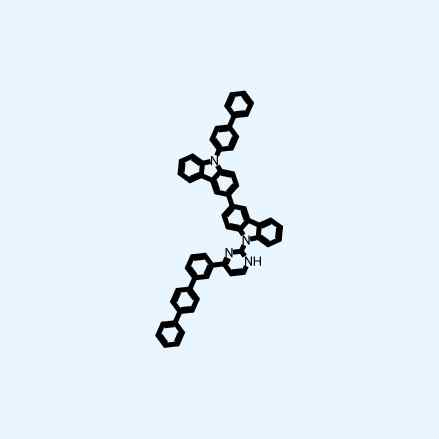 C1=CC(c2cccc(-c3ccc(-c4ccccc4)cc3)c2)=NC(n2c3ccccc3c3cc(-c4ccc5c(c4)c4ccccc4n5-c4ccc(-c5ccccc5)cc4)ccc32)N1